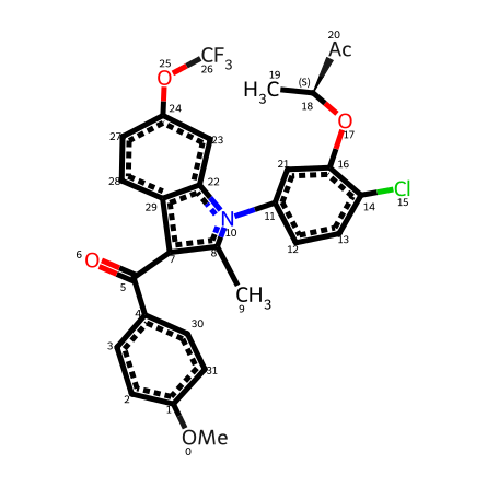 COc1ccc(C(=O)c2c(C)n(-c3ccc(Cl)c(O[C@@H](C)C(C)=O)c3)c3cc(OC(F)(F)F)ccc23)cc1